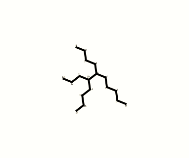 CCCCC[C](CCCC)C(CCC)CCCC